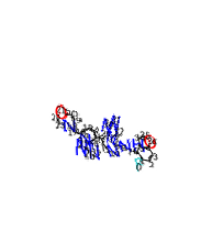 Fc1ccc2c(c1CNc1ncc(-c3ccc(CN4CCOCC4)n4ncnc34)c3nncn13)CCO2